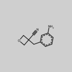 N#CC1(Cc2cccc(N)c2)COC1